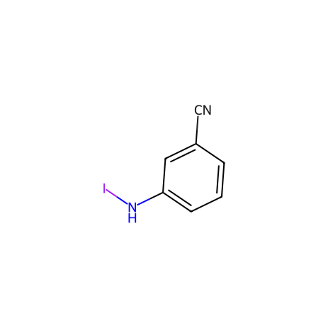 N#Cc1cccc(NI)c1